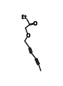 CC#CC#CCOCC(=O)CC